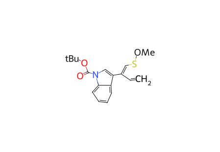 C=C/C(=C\SOC)c1cn(C(=O)OC(C)(C)C)c2ccccc12